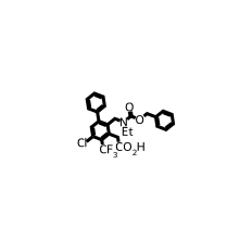 CCN(Cc1c(-c2ccccc2)cc(Cl)c(C(F)(F)F)c1CC(=O)O)C(=O)OCc1ccccc1